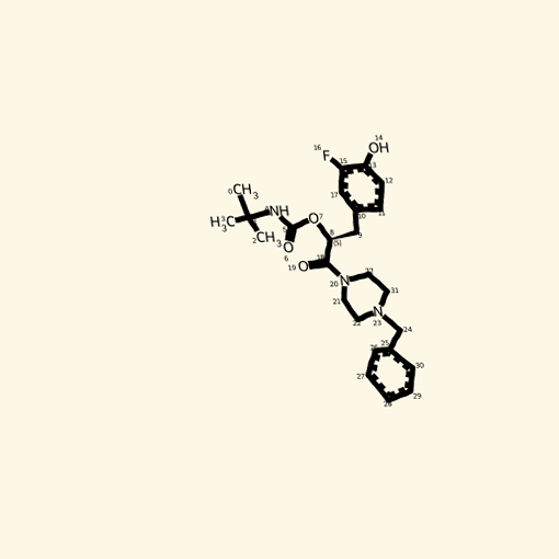 CC(C)(C)NC(=O)O[C@@H](Cc1ccc(O)c(F)c1)C(=O)N1CCN(Cc2ccccc2)CC1